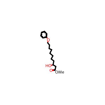 COC(=O)CC(O)CCCCCCCCOc1ccccc1